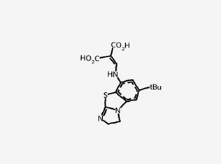 CC(C)(C)c1cc(NC=C(C(=O)O)C(=O)O)c2c(c1)N1CCN=C1S2